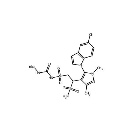 CCCCNC(=O)NS(=O)(=O)CC(c1c(C)nn(C)c1-n1ccc2cc(Cl)ccc21)S(N)(=O)=O